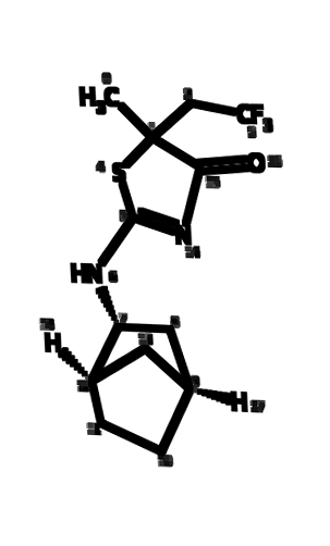 CC1(CC(F)(F)F)SC(N[C@@H]2C[C@H]3CC[C@@H]2C3)=NC1=O